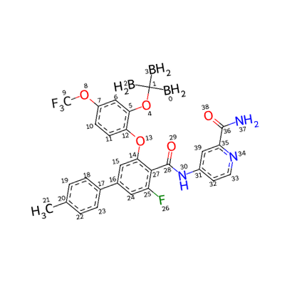 BC(B)(B)Oc1cc(OC(F)(F)F)ccc1Oc1cc(-c2ccc(C)cc2)cc(F)c1C(=O)Nc1ccnc(C(N)=O)c1